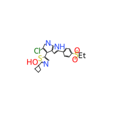 CCS(=O)(=O)c1ccc(-c2cc3c(-c4cnc(C5(O)CCC5)s4)c(Cl)cnc3[nH]2)cc1